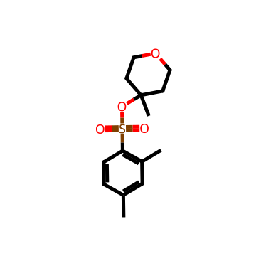 Cc1ccc(S(=O)(=O)OC2(C)CCOCC2)c(C)c1